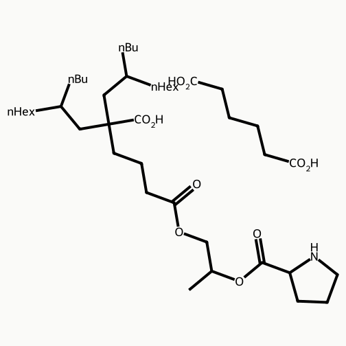 CCCCCCC(CCCC)CC(CCCC(=O)OCC(C)OC(=O)C1CCCN1)(CC(CCCC)CCCCCC)C(=O)O.O=C(O)CCCCC(=O)O